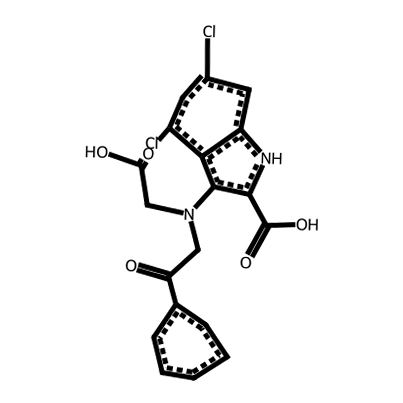 O=C(O)CN(CC(=O)c1ccccc1)c1c(C(=O)O)[nH]c2cc(Cl)cc(Cl)c12